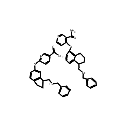 NC(=O)c1ccc(Oc2ccc3c(c2)C(CNCc2ccccc2)CC3)nc1.NC(=O)c1cnccc1Oc1cccc2c1CCCC2CNCc1ccccc1